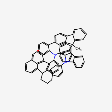 CC1(c2ccccc2)c2ccccc2-c2ccc(-c3ccccc3N(c3ccccc3-c3cccc4cccc(C5CCCCC5)c34)c3cccc4c5ccccc5n(-c5ccccc5)c34)cc21